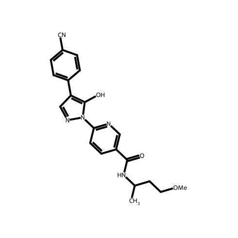 COCCC(C)NC(=O)c1ccc(-n2ncc(-c3ccc(C#N)cc3)c2O)nc1